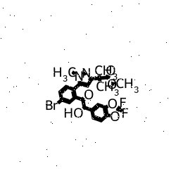 COC(=O)C(C)(C)c1cc(-c2ccc(Br)cc2C(=O)C(O)c2ccc3c(c2)OC(F)(F)O3)n(C)n1